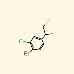 [CH2]C(CF)c1ccc(CC)c(Cl)c1